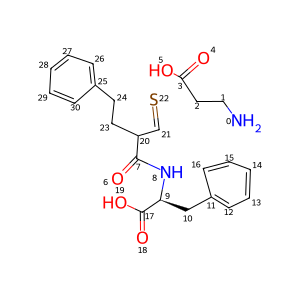 NCCC(=O)O.O=C(N[C@@H](Cc1ccccc1)C(=O)O)C(C=S)CCc1ccccc1